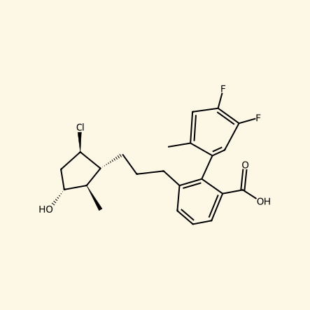 Cc1cc(F)c(F)cc1-c1c(CCC[C@@H]2[C@@H](C)[C@H](O)C[C@H]2Cl)cccc1C(=O)O